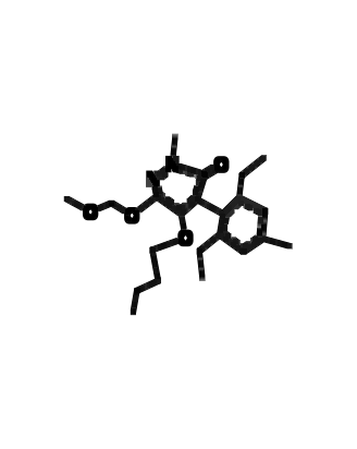 CCCCOc1c(OCOC)nn(C)c(=O)c1-c1c(CC)cc(C)cc1CC